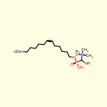 CCCCCCCCCCCCCCC/C=C\CCCCCOP(=O)(O)C(CCC)[N+](C)(C)C